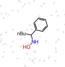 CCCCC(NO)c1ccccc1